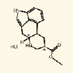 COC(=O)[C@H]1CN[C@@H]2Cc3c[nH]c4cccc(c34)C2C1.Cl